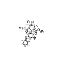 COC(=O)C1=C(CF)NC(C)=C(C(=O)OC(C)C)C1c1cc(F)cc(Sc2ccccc2)c1F